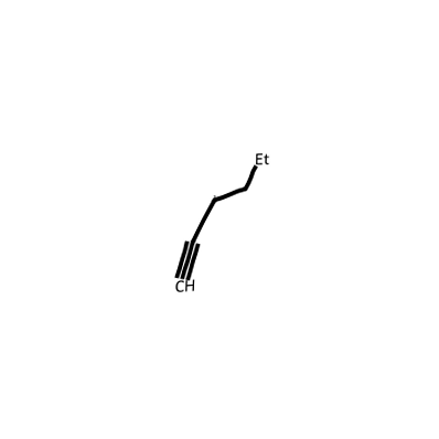 C#C[CH]CCC